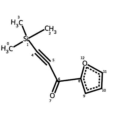 C[Si](C)(C)C#CC(=O)c1ccco1